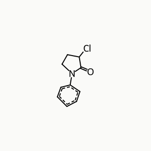 O=C1C(Cl)CCN1c1ccccc1